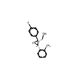 Cc1ccccc1[C@@H]1O[C@@]1(CO)c1ccc(F)cc1